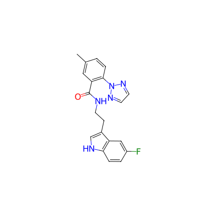 Cc1ccc(-n2nccn2)c(C(=O)NCCc2c[nH]c3ccc(F)cc23)c1